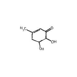 CC1=CC(=O)C(O)C(O)C1